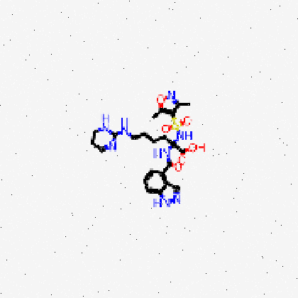 Cc1noc(C)c1S(=O)(=O)NC(CCCCNC1N=CCCN1)(NC(=O)c1cccc2[nH]ncc12)C(=O)O